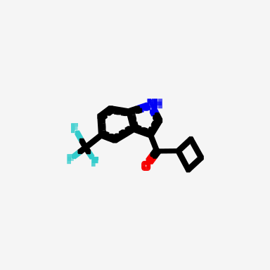 O=C(c1c[nH]c2ccc(C(F)(F)F)cc12)C1CCC1